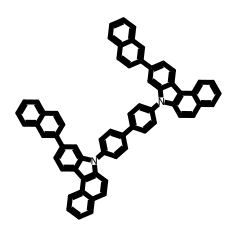 c1ccc2cc(-c3ccc4c5c6ccccc6ccc5n(-c5ccc(-c6ccc(-n7c8cc(-c9ccc%10ccccc%10c9)ccc8c8c9ccccc9ccc87)cc6)cc5)c4c3)ccc2c1